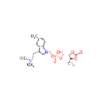 Cc1ccc2c(c1)c(CCN(C)C)cn2COP(=O)(O)OCc1oc(=O)oc1C